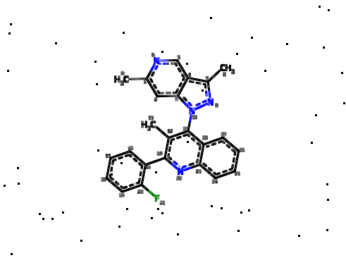 Cc1cc2c(cn1)c(C)nn2-c1c(C)c(-c2ccccc2F)nc2ccccc12